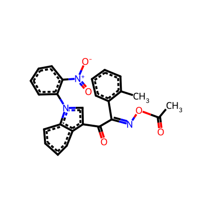 CC(=O)O/N=C(/C(=O)c1cn(-c2ccccc2[N+](=O)[O-])c2ccccc12)c1ccccc1C